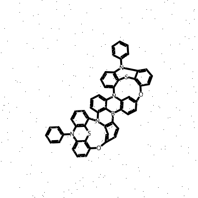 c1ccc(N2c3cccc4c3Sc3c2cccc3N2c3cc(ccc3B3c5ccc6cc5N(c5cccc7c5Sc5c(cccc5N7c5ccccc5)O6)c5cccc2c53)O4)cc1